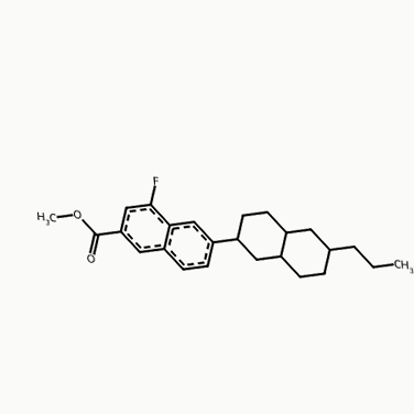 CCCC1CCC2CC(c3ccc4cc(C(=O)OC)cc(F)c4c3)CCC2C1